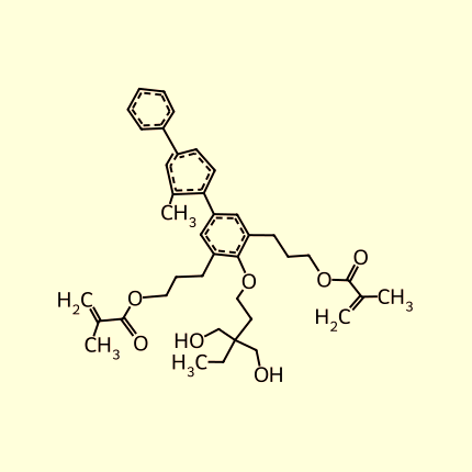 C=C(C)C(=O)OCCCc1cc(-c2ccc(-c3ccccc3)cc2C)cc(CCCOC(=O)C(=C)C)c1OCCC(CC)(CO)CO